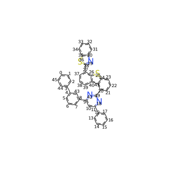 c1ccc(-c2cccc(-c3cc(-c4ccccc4)nc(-c4cccc5sc6c(-c7nc8ccccc8s7)cccc6c45)n3)c2)cc1